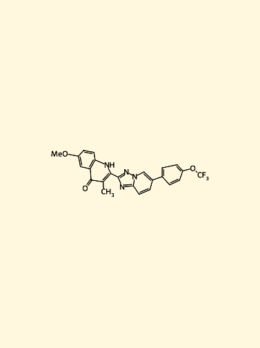 COc1ccc2[nH]c(-c3nc4ccc(-c5ccc(OC(F)(F)F)cc5)cn4n3)c(C)c(=O)c2c1